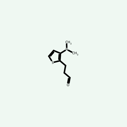 CN(C)c1ccsc1CCC=O